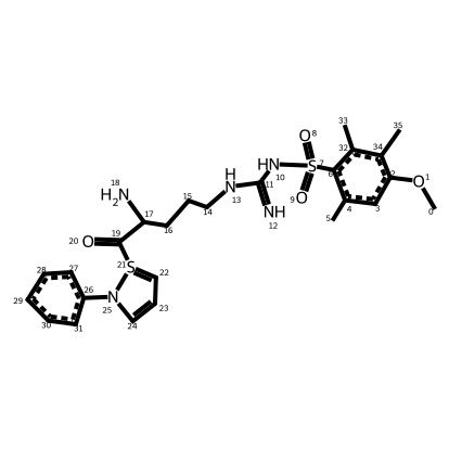 COc1cc(C)c(S(=O)(=O)NC(=N)NCCCC(N)C(=O)S2=CC=CN2c2ccccc2)c(C)c1C